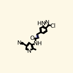 Cc1ncc(C#N)cc1NC(=O)/C=C/c1ccc2c(Cl)n[nH]c2c1